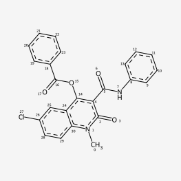 Cn1c(=O)c(C(=O)Nc2ccccc2)c(OC(=O)c2ccccc2)c2cc(Cl)ccc21